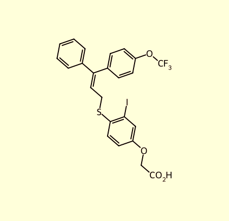 O=C(O)COc1ccc(SCC=C(c2ccccc2)c2ccc(OC(F)(F)F)cc2)c(I)c1